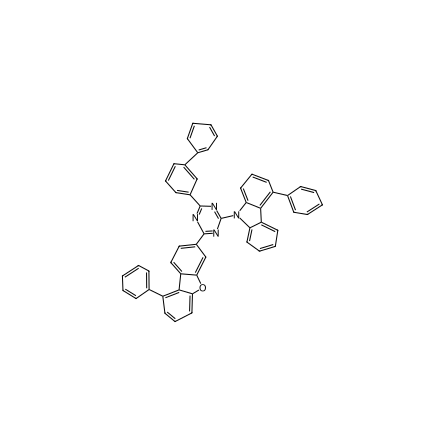 c1ccc(-c2cccc(-c3nc(-c4ccc5c(c4)oc4cccc(-c6ccccc6)c45)nc(-n4c5ccccc5c5c(-c6ccccc6)cccc54)n3)c2)cc1